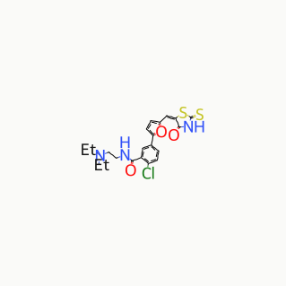 CCN(CC)CCNC(=O)c1cc(-c2ccc(C=C3SC(=S)NC3=O)o2)ccc1Cl